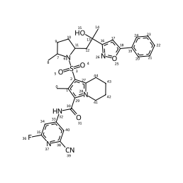 Cc1c(S(=O)(=O)N2C(C)CCC2CC(C)(O)c2cc(-c3ccccc3)on2)c2n(c1C(=O)Nc1cc(F)nc(C#N)c1)CCCC2